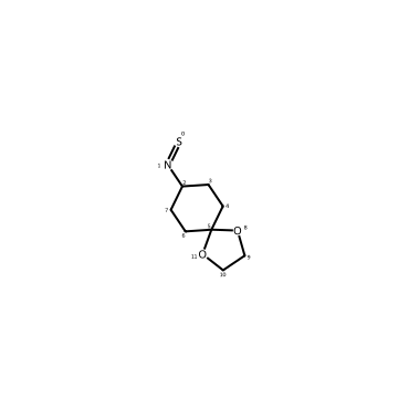 S=NC1CCC2(CC1)OCCO2